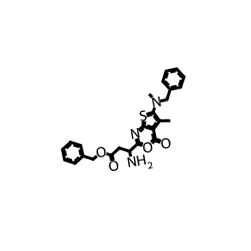 Cc1c(N(C)Cc2ccccc2)sc2nc(C(N)CC(=O)OCc3ccccc3)oc(=O)c12